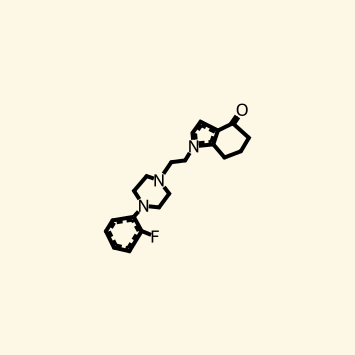 O=C1CCCc2c1ccn2CCN1CCN(c2ccccc2F)CC1